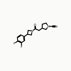 N#CN1CCC(CC(=O)N2CC(c3ccc(F)c(F)c3)C2)C1